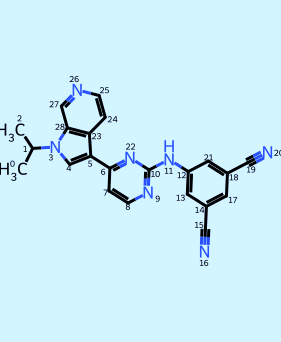 CC(C)n1cc(-c2ccnc(Nc3cc(C#N)cc(C#N)c3)n2)c2ccncc21